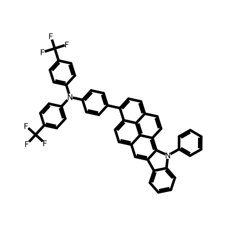 FC(F)(F)c1ccc(N(c2ccc(-c3ccc4ccc5c6c(ccc3c46)cc3c4ccccc4n(-c4ccccc4)c35)cc2)c2ccc(C(F)(F)F)cc2)cc1